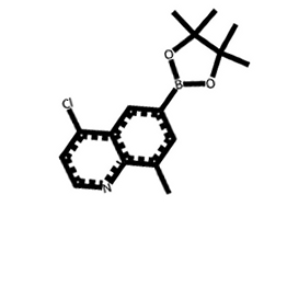 Cc1cc(B2OC(C)(C)C(C)(C)O2)cc2c(Cl)ccnc12